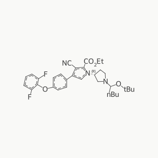 CCCCC(OC(C)(C)C)N1CC[C@@H](n2cc(-c3ccc(Oc4c(F)cccc4F)cc3)c(C#N)c2C(=O)OCC)C1